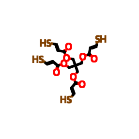 O=C(C=CS)OCC(COC(=O)C=CS)(COC(=O)C=CS)COC(=O)C=CS